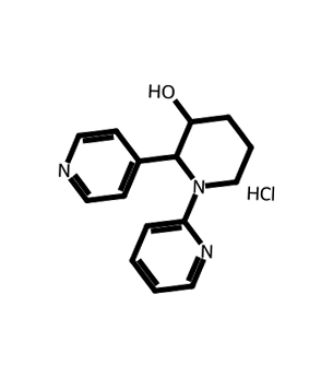 Cl.OC1CCCN(c2ccccn2)C1c1ccncc1